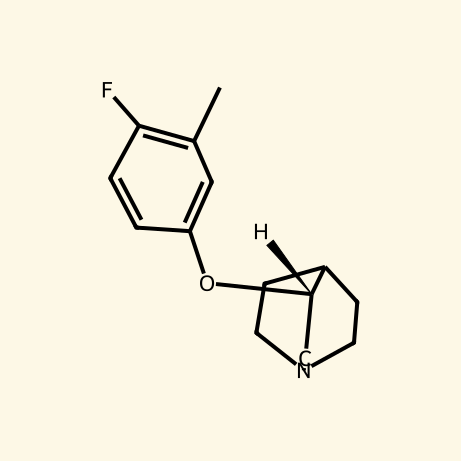 Cc1cc(O[C@H]2CN3CCC2CC3)ccc1F